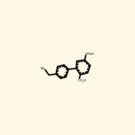 CCCCCCCc1ccc(C(=O)O)c(-c2ccc(CC(C)CC)cc2)c1